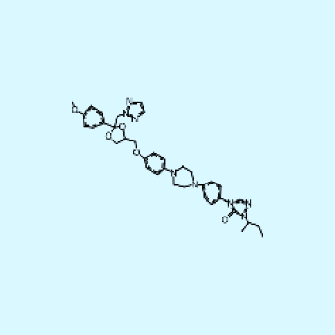 CCC(C)n1ncn(-c2ccc(N3CCN(c4ccc(OCC5COC(Cn6nccn6)(c6ccc(OC)cc6)O5)cc4)CC3)cc2)c1=O